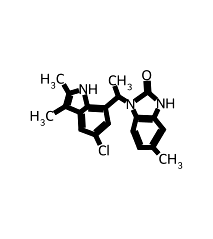 Cc1ccc2c(c1)[nH]c(=O)n2C(C)c1cc(Cl)cc2c(C)c(C)[nH]c12